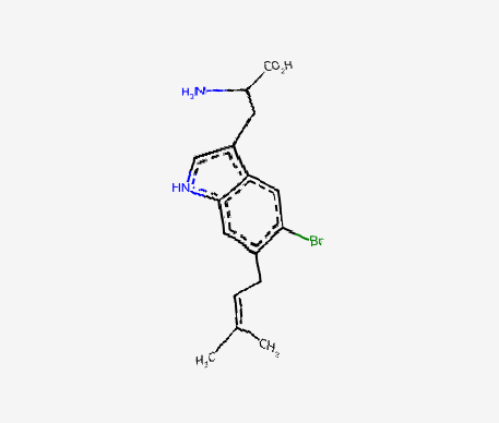 CC(C)=CCc1cc2[nH]cc(CC(N)C(=O)O)c2cc1Br